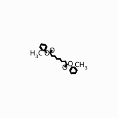 Cc1ccccc1OC(=O)CCCCCCC(=O)Oc1ccccc1C